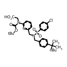 CCCCC(C)(C)c1ccc(CN(Cc2cccc(N(CC(=O)O)C(=O)OC(C)(C)C)n2)S(=O)(=O)c2ccc(Cl)cc2)cc1